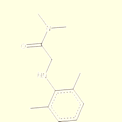 Cc1cccc(C)c1NCC(=O)N(C)C